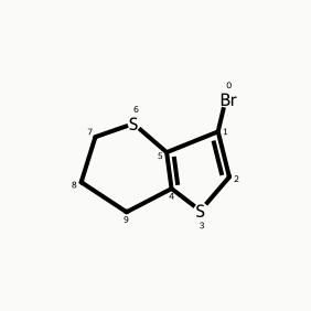 Brc1csc2c1SCCC2